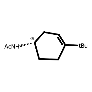 CC(=O)N[C@@H]1CC=C(C(C)(C)C)CC1